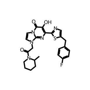 CC1CCCCN1C(=O)Cn1ccn2c(=O)c(O)c(-c3ncc(Cc4ccc(F)cc4)s3)nc12